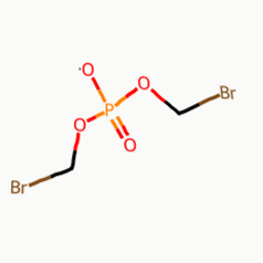 [O]P(=O)(OCBr)OCBr